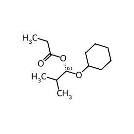 CCC(=O)O[C@H](OC1CCCCC1)C(C)C